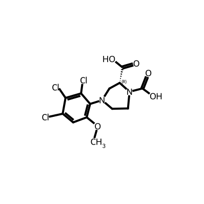 COc1cc(Cl)c(Cl)c(Cl)c1N1CCN(C(=O)O)[C@@H](C(=O)O)C1